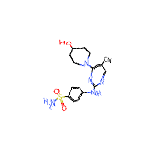 N#Cc1cnc(Nc2ccc(S(N)(=O)=O)cc2)nc1N1CCC(O)CC1